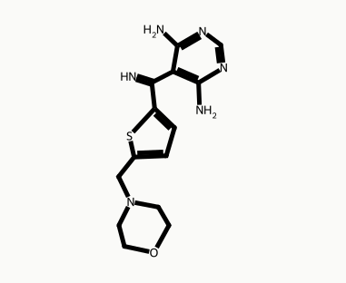 N=C(c1ccc(CN2CCOCC2)s1)c1c(N)ncnc1N